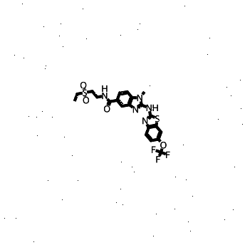 CCS(=O)(=O)CCNC(=O)c1ccc2c(c1)nc(Nc1nc3ccc(OC(F)(F)F)cc3s1)n2C